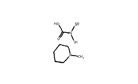 CN1CCCCC1.O=C(O)N(S)S